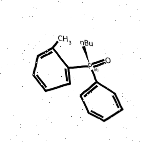 CCCC[P@@](=O)(c1ccccc1)c1ccccc1C